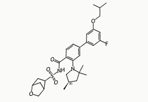 CC(C)COc1cc(F)cc(-c2ccc(C(=O)NS(=O)(=O)C3CC4CC3CO4)c(N3C[C@H](C)CC3(C)C)c2)c1